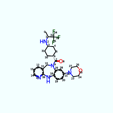 CC(N[C@H]1CC[C@H](C(=O)N2Cc3cccnc3Nc3ccc(N4CCOCC4)cc32)CC1)C(F)(F)F